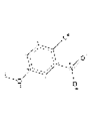 COc1ccc([S])c([N+](=O)[O-])c1